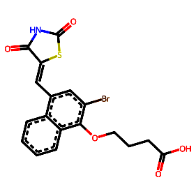 O=C(O)CCCOc1c(Br)cc(/C=C2\SC(=O)NC2=O)c2ccccc12